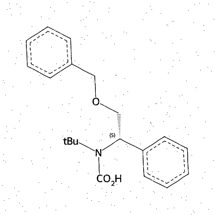 CC(C)(C)N(C(=O)O)[C@H](COCc1ccccc1)c1ccccc1